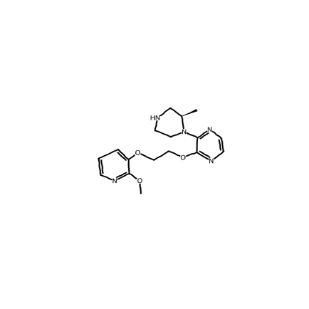 COc1ncccc1OCCOc1nccnc1N1CCNC[C@H]1C